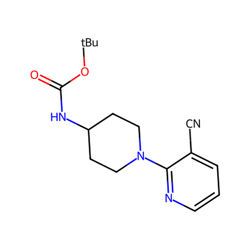 CC(C)(C)OC(=O)NC1CCN(c2ncccc2C#N)CC1